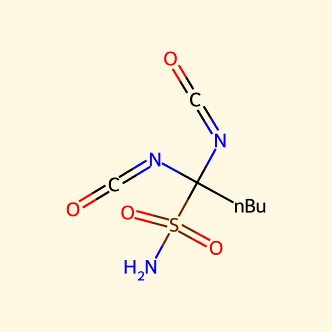 CCCCC(N=C=O)(N=C=O)S(N)(=O)=O